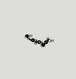 O=C(O)c1ccc(-n2nnnc2SC2CCN(C(=O)Oc3ccc(CCSc4ncc[nH]4)cc3)CC2)cc1